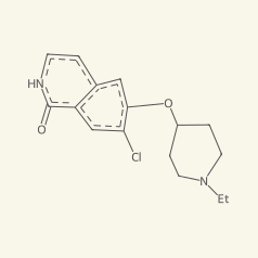 CCN1CCC(Oc2cc3cc[nH]c(=O)c3cc2Cl)CC1